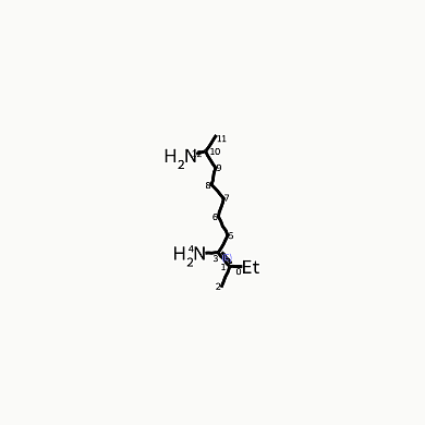 CC/C(C)=C(/N)CCCCCC(C)N